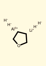 C1CCOC1.[Al+3].[H-].[H-].[H-].[H-].[Li+]